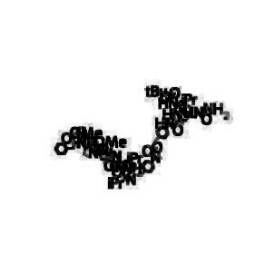 CC[C@H](C)[C@@H]([C@@H](CC(=O)N1CCC[C@H]1[C@H](OC)[C@@H](C)C(=O)N[C@@H](Cc1ccccc1)C(=O)OC)OC)N(C)C(=O)[C@@H](NC(=O)[C@H](C(C)C)N(C)CCc1ccc(N(C)C(=O)OCc2ccc(NC(=O)[C@H](CCCNC(N)=O)NC(=O)[C@@H](NC(=O)OC(C)(C)C)C(C)C)cc2)cc1)C(C)C